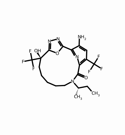 CC[C@H](C)N1CCCCC[C@](O)(C(F)(F)F)c2nnc(o2)-c2nc(c(C(F)(F)F)cc2N)C1=O